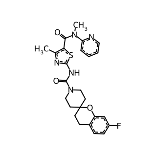 Cc1nc(NC(=O)N2CCC3(CCc4ccc(F)cc4O3)CC2)sc1C(=O)N(C)c1ccccn1